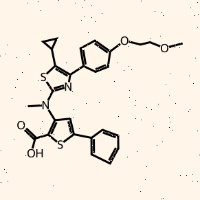 COCCOc1ccc(-c2nc(N(C)c3cc(-c4ccccc4)sc3C(=O)O)sc2C2CC2)cc1